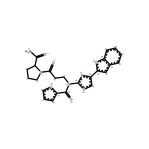 NC(=O)C1CCCN1C(=O)CCN(C(=O)c1cccs1)c1nc(-c2cc3ccccc3o2)cs1